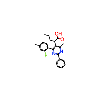 CCCC(C(=O)O)c1c(C)nc(-c2ccccc2)nc1-c1ccc(C)cc1F